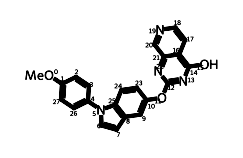 COc1ccc(-n2ccc3cc(Oc4nc(O)c5ccncc5n4)ccc32)cc1